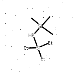 CC[Si](CC)(CC)P[Si](C)(C)C